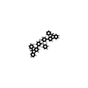 CC1(c2ccccc2)c2ccccc2-c2ccc(-c3ccc4c(c3)N(c3ccccc3)c3cc(-c5ccc6c(c5)C(C)(c5ccccc5)c5ccccc5-6)ccc3O4)cc21